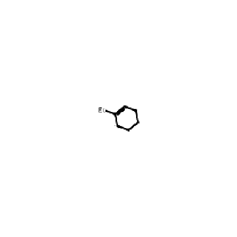 CCC1=CCCC[CH]1